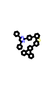 c1ccc(-c2cc(-c3ccccc3)nc(-c3ccc(-c4cccc5sc6ccc(-c7ccc8c9ccccc9c9ccccc9c8c7)cc6c45)cc3)n2)cc1